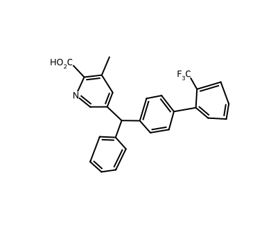 Cc1cc(C(c2ccccc2)c2ccc(-c3ccccc3C(F)(F)F)cc2)cnc1C(=O)O